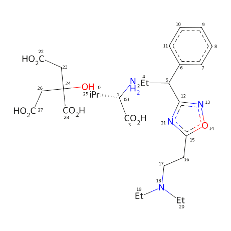 CC(C)[C@H](N)C(=O)O.CCC(c1ccccc1)c1noc(CCN(CC)CC)n1.O=C(O)CC(O)(CC(=O)O)C(=O)O